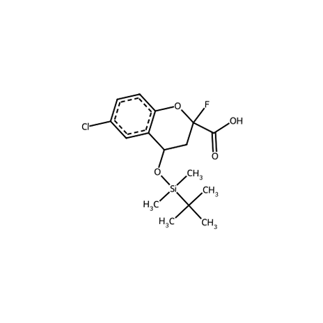 CC(C)(C)[Si](C)(C)OC1CC(F)(C(=O)O)Oc2ccc(Cl)cc21